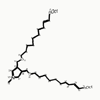 CCCCCCCCC=CCCCCCCCCOCC1CN(C)CC1COCCCCCCCCC=CCCCCCCCC